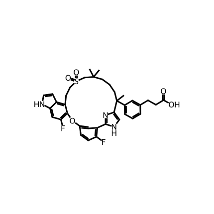 CC1(C)CCCC(C)(c2cccc(CCC(=O)O)c2)c2c[nH]c(n2)-c2cc(ccc2F)Oc2c(F)cc3[nH]ccc3c2CCS(=O)(=O)C1